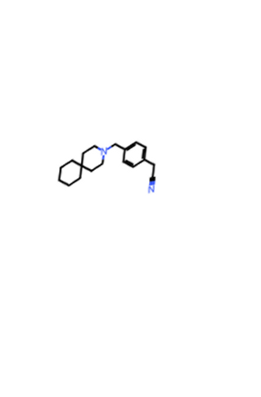 N#CCc1ccc(CN2CCC3(CCCCC3)CC2)cc1